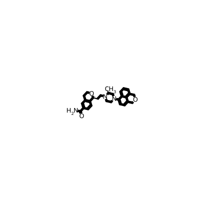 C[C@@H]1CN(c2ccc3c4c(cccc24)COC3)CCN1CC[C@@H]1OCCc2cc(C(N)=O)ccc21